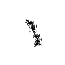 CCCC(=O)Nc1cn(C)c(C(=O)Nc2cc(C(=O)NCCCC(=O)Nc3cc(C(=O)Nc4cc(C(=O)NCCC(C)=O)n(C)c4)n(C)c3)n(C)c2)n1